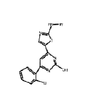 CC(C)Nc1ncc(-c2cc(-c3ccccc3Cl)nc(O)n2)s1